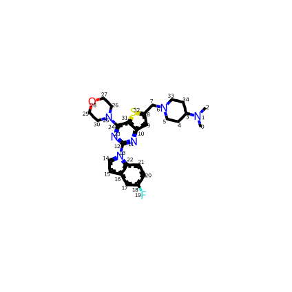 CN(C)C1CCN(Cc2cc3nc(-n4ccc5cc(F)ccc54)nc(N4CCOCC4)c3s2)CC1